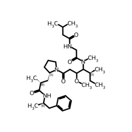 CC[C@H](C)C(C(CC(=O)N1CCC[C@H]1C[C@@H](C)C(=O)N[C@H](C)Cc1ccccc1)OC)N(C)C(=O)CNC(=O)CC(C)C